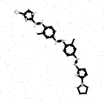 Cc1cc(/N=N/c2ccc(N3CCCC3)s2)ccc1/N=N/c1ccc(/N=N/c2nc(C(F)(F)F)cs2)c(C)c1